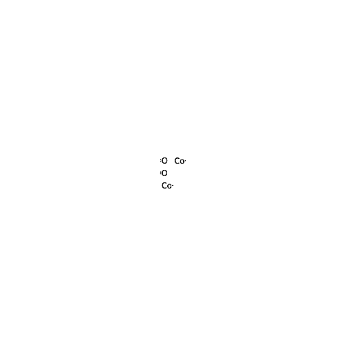 [Co].[Co].[O].[O]